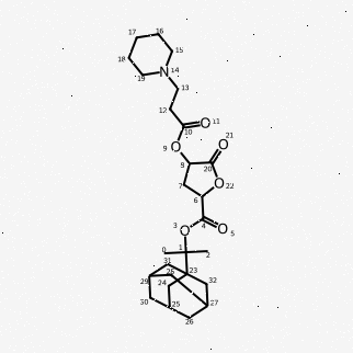 CC(C)(OC(=O)C1CC(OC(=O)CCN2CCCCC2)C(=O)O1)C12CC3CC(CC(C3)C1)C2